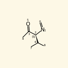 C=N[C@H](C(C)=O)C(C)C